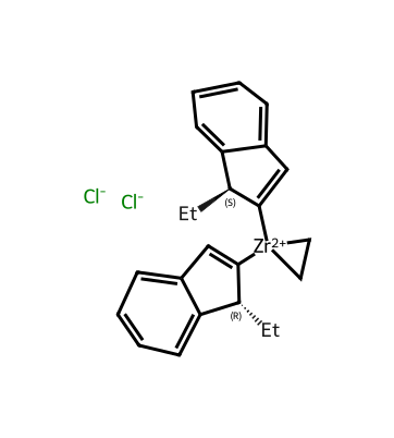 CC[C@@H]1[C]([Zr+2]2([C]3=Cc4ccccc4[C@H]3CC)[CH2][CH2]2)=Cc2ccccc21.[Cl-].[Cl-]